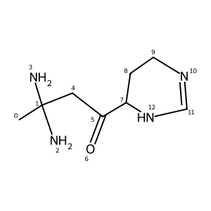 CC(N)(N)CC(=O)C1CCN=CN1